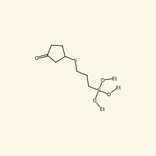 CCO[Si](CCCSC1CCC(=O)C1)(OCC)OCC